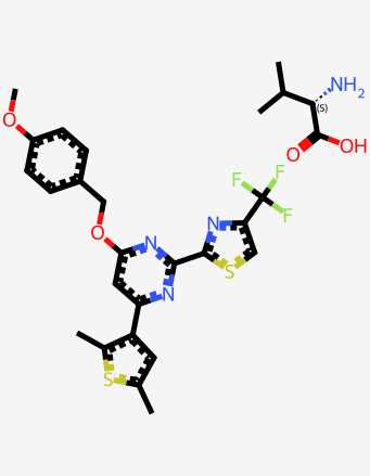 CC(C)[C@H](N)C(=O)O.COc1ccc(COc2cc(-c3cc(C)sc3C)nc(-c3nc(C(F)(F)F)cs3)n2)cc1